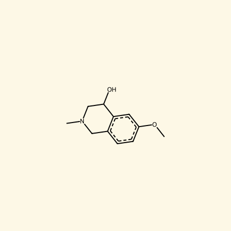 COc1ccc2c(c1)C(O)CN(C)C2